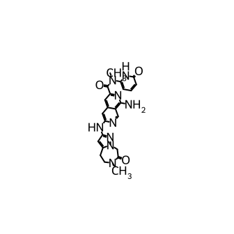 CN1CCc2cc(Nc3cc4cc(C(=O)N(C)c5cccc(=O)[nH]5)nc(N)c4cn3)nn2CC1=O